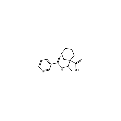 CC(NC(=O)c1cccnc1)C1(C(=O)O)CCCCC1